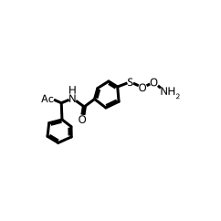 CC(=O)C(NC(=O)c1ccc(SOON)cc1)c1ccccc1